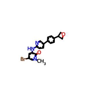 Cn1cc(Br)cc(Nc2ccc(-c3ccc(C4COC4)cc3)cn2)c1=O